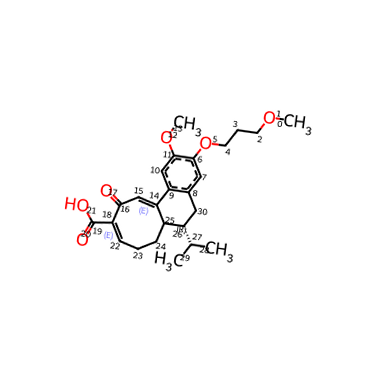 COCCCOc1cc2c(cc1OC)/C1=C/C(=O)/C(C(=O)O)=C\CCC1[C@@H](C(C)C)C2